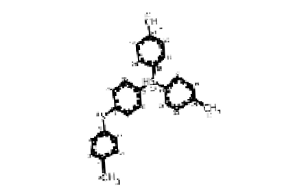 Cc1ccc(Sc2ccc([SH](c3ccc(C)cc3)c3ccc(C)cc3)cc2)cc1